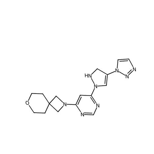 C1=C(n2ccnn2)CNN1c1cc(N2CC3(CCOCC3)C2)ncn1